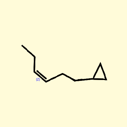 CC/C=C\CCC1CC1